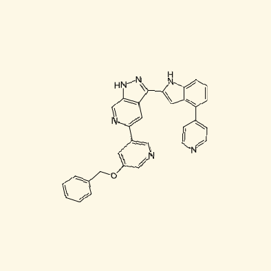 c1ccc(COc2cncc(-c3cc4c(-c5cc6c(-c7ccncc7)cccc6[nH]5)n[nH]c4cn3)c2)cc1